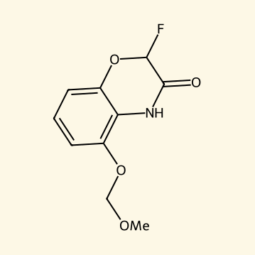 COCOc1cccc2c1NC(=O)C(F)O2